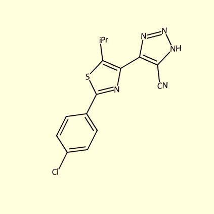 CC(C)c1sc(-c2ccc(Cl)cc2)nc1-c1nn[nH]c1C#N